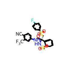 CS(=O)(=O)N[C@@](CS(=O)(=O)c1ccc(F)cc1)(C(=O)Nc1ccc(C#N)c(C(F)(F)F)c1)C1=CC=CCC1